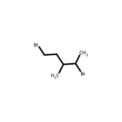 CC(Br)C(C)CCBr